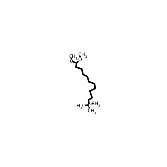 COC(CCCCC/C=C\CCC[P+](C)(C)C)OC.[I-]